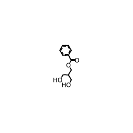 O=C(OCC(CO)CO)c1ccccc1